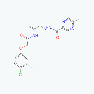 C=C(CCNC(=O)c1cnc(C)cn1)NC(=O)COc1ccc(Cl)c(F)c1